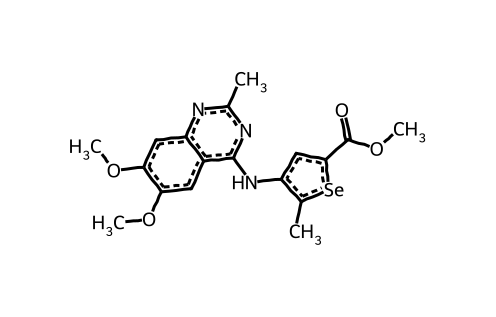 COC(=O)c1cc(Nc2nc(C)nc3cc(OC)c(OC)cc23)c(C)[se]1